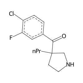 CCCC1(C(=O)c2ccc(Cl)c(F)c2)CCNC1